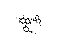 NC1CCCN(c2nc(OC[C@@]34CCCN3C[C@H](F)C4)nc3c(F)c(Cl)ncc23)C1